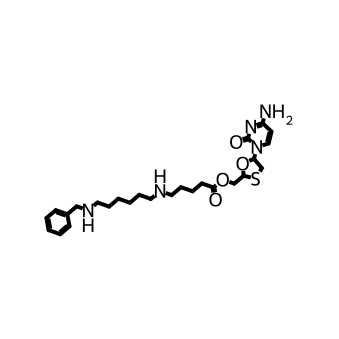 Nc1ccn(C2CSC(COC(=O)CCCCNCCCCCCNCc3ccccc3)O2)c(=O)n1